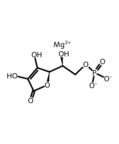 O=C1O[C@H]([C@@H](O)COP(=O)([O-])[O-])C(O)=C1O.[Mg+2]